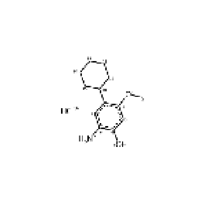 COc1cc(O)c(N)cc1C1CCCCC1.Cl